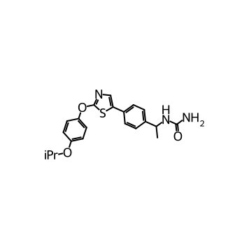 CC(C)Oc1ccc(Oc2ncc(-c3ccc(C(C)NC(N)=O)cc3)s2)cc1